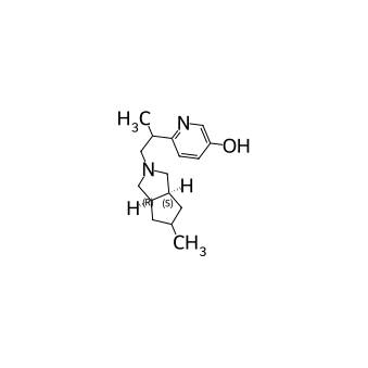 CC1C[C@@H]2CN(CC(C)c3ccc(O)cn3)C[C@@H]2C1